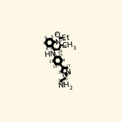 CCC(=O)N1c2ccccc2[C@H](Nc2ccc(-c3cnn(CCN)c3)cc2)C[C@@H]1C